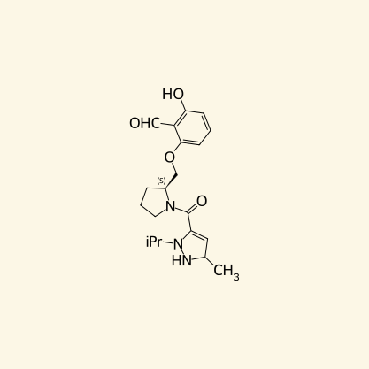 CC1C=C(C(=O)N2CCC[C@H]2COc2cccc(O)c2C=O)N(C(C)C)N1